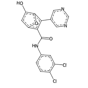 O=C(Nc1ccc(Cl)c(Cl)c1)c1c(-c2cncnc2)c2oc1cc2O